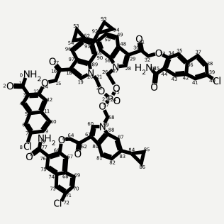 NC(=O)c1cc2cc(Cl)ccc2cc1OCC(=O)c1cn(COP(=O)(OCn2cc(C(=O)COc3cc4ccc(Cl)cc4cc3C(N)=O)c3ccc(C4CC4)cc32)OCn2cc(C(=O)COc3cc4ccc(Cl)cc4cc3C(N)=O)c3ccc(C4CC4)cc32)c2cc(C3CC3)ccc12